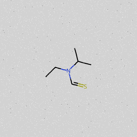 CCN(C=S)C(C)C